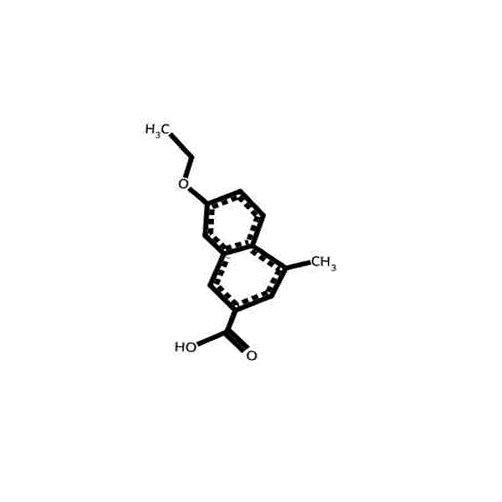 CCOc1ccc2c(C)cc(C(=O)O)cc2c1